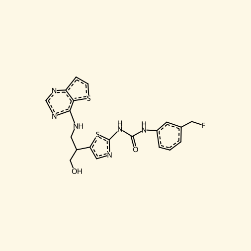 O=C(Nc1cccc(CF)c1)Nc1ncc(C(CO)CNc2ncnc3ccsc23)s1